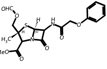 COC(=O)C1N2C(=O)C(NC(=O)COc3ccccc3)[C@@H]2S[C@@]1(C)COC=O